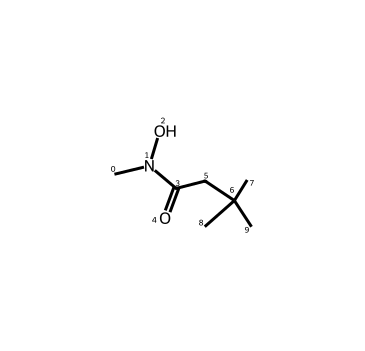 CN(O)C(=O)CC(C)(C)C